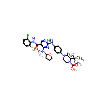 CN(c1nc(Nc2ccc(N3CCN(C(=O)O)C(C(C)(C)C)C3)cc2)ncc1C(=O)Nc1c(F)cccc1Cl)C1CCCO1.Cl